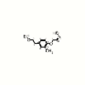 CCOCCc1ccc(OC/C=N\O)c(C)c1